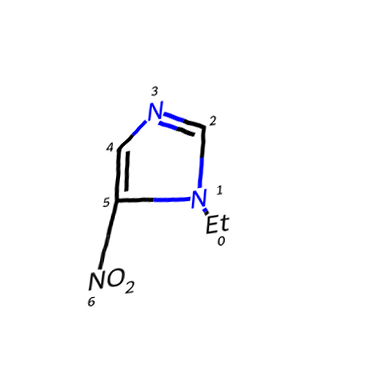 [CH2]Cn1cncc1[N+](=O)[O-]